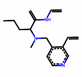 C=CNC(=C)C(CCC)N(C)Cc1ccncc1C=C